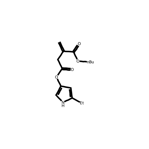 C=C(CC(=O)Oc1c[nH]c(CC)c1)C(=O)OCCCC